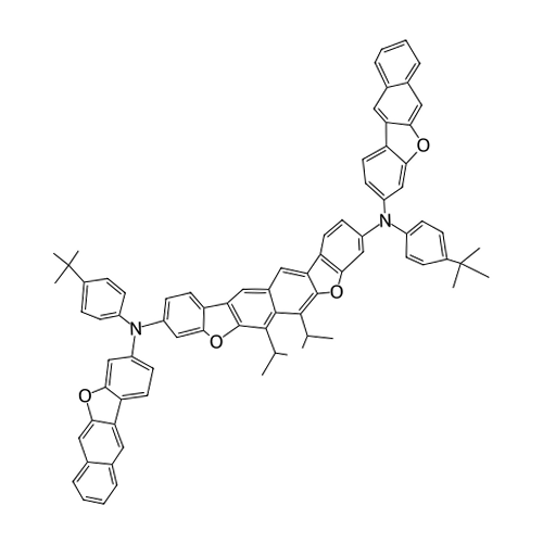 CC(C)c1c2oc3cc(N(c4ccc(C(C)(C)C)cc4)c4ccc5c(c4)oc4cc6ccccc6cc45)ccc3c2cc2cc3c(oc4cc(N(c5ccc(C(C)(C)C)cc5)c5ccc6c(c5)oc5cc7ccccc7cc56)ccc43)c(C(C)C)c12